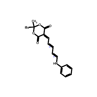 CCC(C)C1(C)OC(=O)C(=C/C=C/C=C/Nc2ccccc2)C(=O)O1